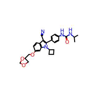 CC(C)NC(=O)Nc1ccc(-c2c(C#N)c3ccc(OCC4COCO4)cc3n2C2CCC2)cc1